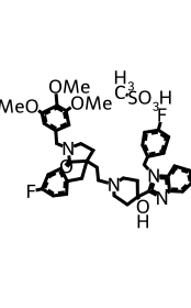 COc1cc(CN2CCC(CCN3CCC(O)(c4nc5ccccc5n4Cc4ccc(F)cc4)CC3)(Cc3ccc(F)cc3)C2=O)cc(OC)c1OC.CS(=O)(=O)O